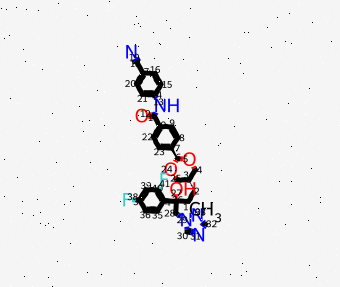 C[C@@H](C[C@H]1CO[C@H](c2ccc(C(=O)Nc3ccc(C#N)cc3)cc2)OC1)[C@](O)(Cn1cncn1)c1ccc(F)cc1F